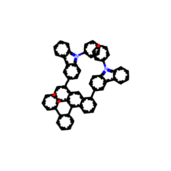 c1ccc(-c2ccccc2-c2c3cccc(-c4ccc5c(c4)c4ccccc4n5-c4ccccc4)c3cc3c(-c4ccc5c(c4)c4ccccc4n5-c4ccccc4)cccc23)cc1